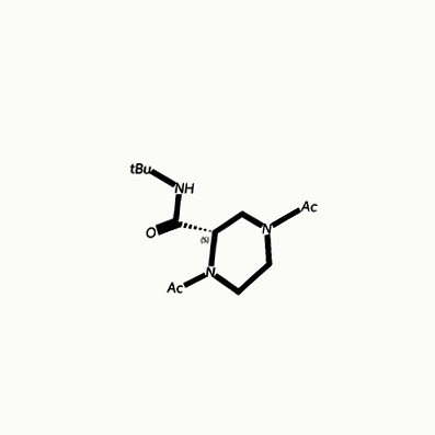 CC(=O)N1CCN(C(C)=O)[C@H](C(=O)NC(C)(C)C)C1